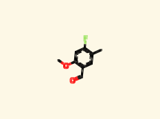 COc1cc(F)c(C)cc1C=O